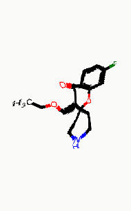 CCOC=C1C(=O)c2ccc(F)cc2OC12CCNCC2